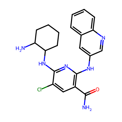 NC(=O)c1cc(Cl)c(NC2CCCCC2N)nc1Nc1cnc2ccccc2c1